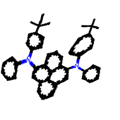 CC(C)(C)c1ccc(N(c2ccccc2)c2cc3cccc4cc(N(c5ccccc5)c5ccc(C(C)(C)C)cc5)c5cccc2c5c34)cc1